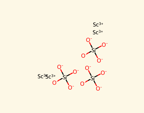 [O-][Si]([O-])([O-])[O-].[O-][Si]([O-])([O-])[O-].[O-][Si]([O-])([O-])[O-].[Sc+3].[Sc+3].[Sc+3].[Sc+3]